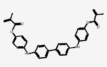 C=C(C)C(=O)Oc1ccc(Nc2ccc(-c3ccc(Nc4ccc(OC(=O)C(=C)C)cc4)cc3)cc2)cc1